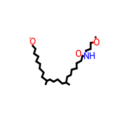 COCCCCCCCCCC(C)CCCCC(C)CCCCCCC(=O)NCCCOC